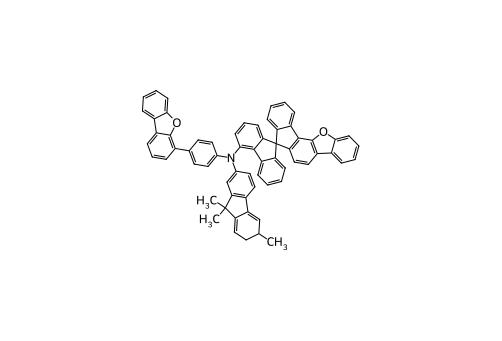 CC1C=C2C(=CC1)C(C)(C)c1cc(N(c3ccc(-c4cccc5c4oc4ccccc45)cc3)c3cccc4c3-c3ccccc3C43c4ccccc4-c4c3ccc3c4oc4ccccc43)ccc12